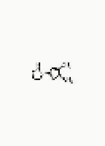 Cc1cc(C2CCCN2)nn1C